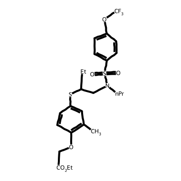 CCCN(CC(CC)Sc1ccc(OCC(=O)OCC)c(C)c1)S(=O)(=O)c1ccc(OC(F)(F)F)cc1